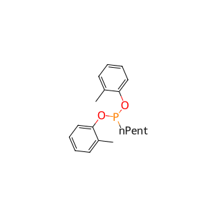 CCCCCP(Oc1ccccc1C)Oc1ccccc1C